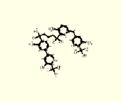 CCC(O)(CCCC(O)(CC)c1nc(Cc2cnc(C(O)(CC)CC)c(N)c2)ccc1N)c1ccc(-c2cnc(C(O)(CC)CC)c(N)c2)cc1N